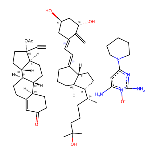 C#C[C@]1(OC(C)=O)CC[C@H]2[C@@H]3CCC4=CC(=O)CC[C@@H]4[C@H]3CC[C@@]21C.C=C1/C(=C\C=C2/CCC[C@]3(C)[C@@H]([C@H](C)CCCC(C)(C)O)CC[C@@H]23)C[C@@H](O)C[C@@H]1O.Nc1cc(N2CCCCC2)nc(N)[n+]1[O-]